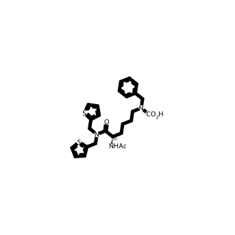 CC(=O)N[C@@H](CCCCN(Cc1ccccc1)C(=O)O)C(=O)N(Cc1cccs1)Cc1cccs1